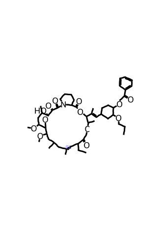 CCCOC1CC(C=C(C)C2OC(=O)C3CCCCN3C(=O)C(=O)C3(O)OC(C(OC)CC(C)C/C(C)=C/C(CC)C(=O)CCC2C)C(OC)CC3C)CCC1OCC(=O)c1ccccc1